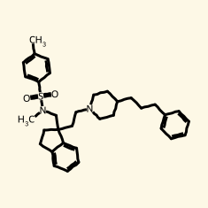 Cc1ccc(S(=O)(=O)N(C)CC2(CCN3CCC(CCCc4ccccc4)CC3)CCc3ccccc32)cc1